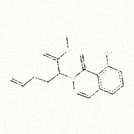 C=CCCC(C(=C)NC)N1N=Cc2cccc(N)c2C1=C